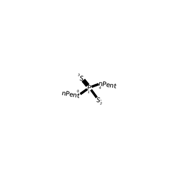 CCCCCP([S])(=S)CCCCC